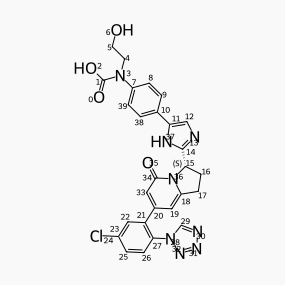 O=C(O)N(CCO)c1ccc(-c2cnc([C@@H]3CCc4cc(-c5cc(Cl)ccc5-n5cnnn5)cc(=O)n43)[nH]2)cc1